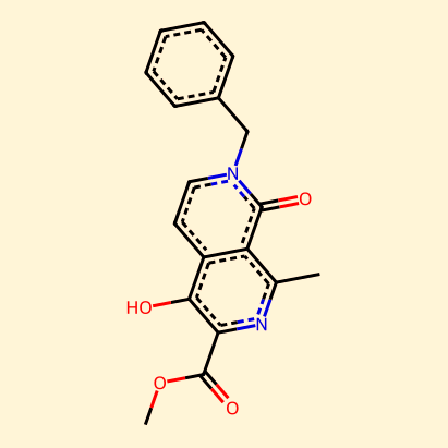 COC(=O)c1nc(C)c2c(=O)n(Cc3ccccc3)ccc2c1O